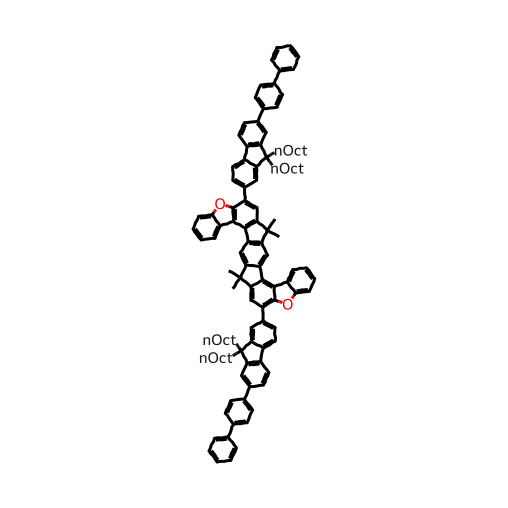 CCCCCCCCC1(CCCCCCCC)c2cc(-c3ccc(-c4ccccc4)cc3)ccc2-c2ccc(-c3cc4c(c5c3oc3ccccc35)-c3cc5c(cc3C4(C)C)-c3c(cc(-c4ccc6c(c4)C(CCCCCCCC)(CCCCCCCC)c4cc(-c7ccc(-c8ccccc8)cc7)ccc4-6)c4oc6ccccc6c34)C5(C)C)cc21